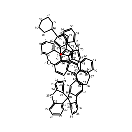 c1ccc2c(c1)Oc1ccc(N(c3ccc4c(c3)C3(c5ccccc5Sc5ccccc53)c3ccccc3-4)c3ccccc3-c3cccc4c3oc3ccccc34)cc1C21c2cc(C3CCCCC3)ccc2-c2ccc(C3CCCCC3)cc21